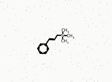 C[Si](C)(C)C/C=C/c1ccccc1